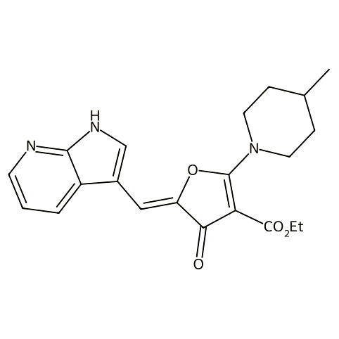 CCOC(=O)C1=C(N2CCC(C)CC2)OC(=Cc2c[nH]c3ncccc23)C1=O